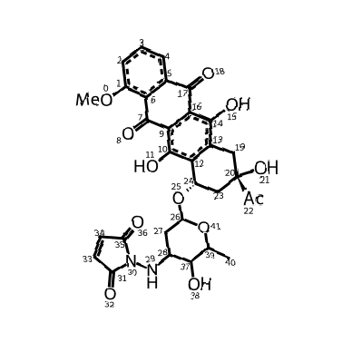 COc1cccc2c1C(=O)c1c(O)c3c(c(O)c1C2=O)C[C@@](O)(C(C)=O)C[C@@H]3OC1CC(NN2C(=O)C=CC2=O)C(O)C(C)O1